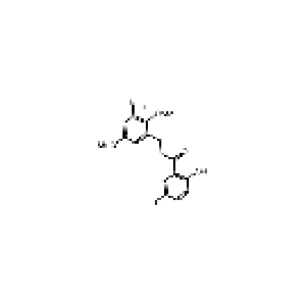 COc1cc(N)c(OC)c(CCC(=O)c2cc(O)ccc2O)c1